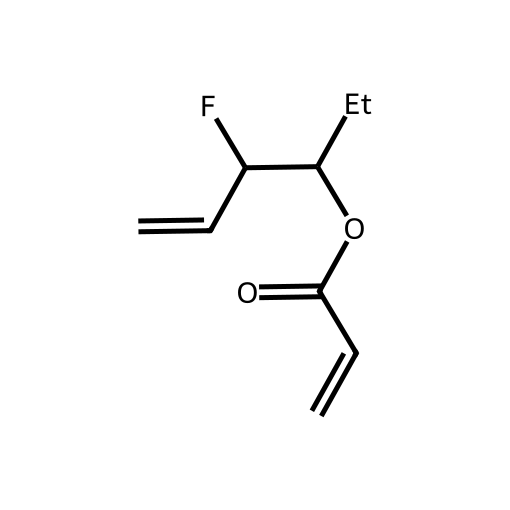 C=CC(=O)OC(CC)C(F)C=C